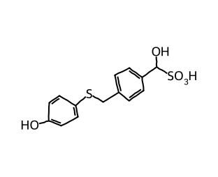 O=S(=O)(O)C(O)c1ccc(CSc2ccc(O)cc2)cc1